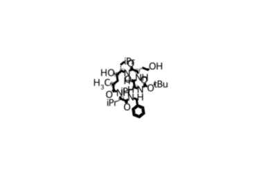 CC(C)C[C@H](NC(=O)[C@H](CCO)NC(=O)[C@@H](NC(=O)OC(C)(C)C)C(C)C)[C@@H](O)C[C@@H](C)C(=O)N[C@H](C(=O)NCc1ccccc1)C(C)C